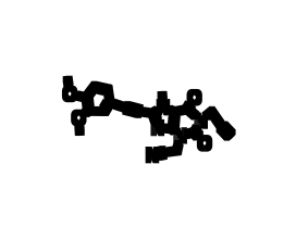 C#CCn1c(=O)c2c(nc(C#Cc3ccc(OC)c(OC)c3)n2C)n(CC#N)c1=O